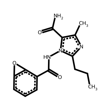 CCCc1nc(C)c(C(N)=O)n1NC(=O)c1cccc2c1O2